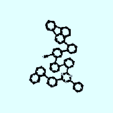 N#Cc1ccc(-c2ccccc2-c2ccc3c4c(cccc24)-c2ccccc2-3)cc1-c1ccccc1-c1ccccc1-c1nc(-c2ccccc2)nc(-c2cccc(-c3cccc4ccccc34)c2)n1